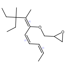 C\C=C/C=C\C(OCC1CO1)=C(\C)C(C)(CC)CC